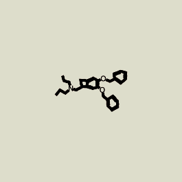 CCCN(CCC)CC1Cc2cc(OCc3ccccc3)c(OCc3ccccc3)cc21